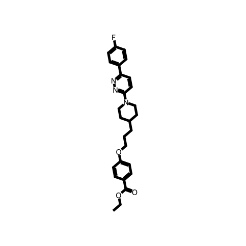 CCOC(=O)c1ccc(OCCCC2CCN(c3ccc(-c4ccc(F)cc4)nn3)CC2)cc1